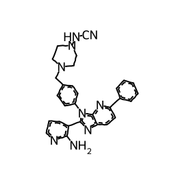 N#CNN1CCN(Cc2ccc(-n3c(-c4cccnc4N)nc4ccc(-c5ccccc5)nc43)cc2)CC1